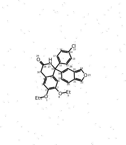 CCOc1cc2c(cc1OCC)C(c1ccc(Cl)cc1)(c1ccc3cocc3c1)NC(=O)C2